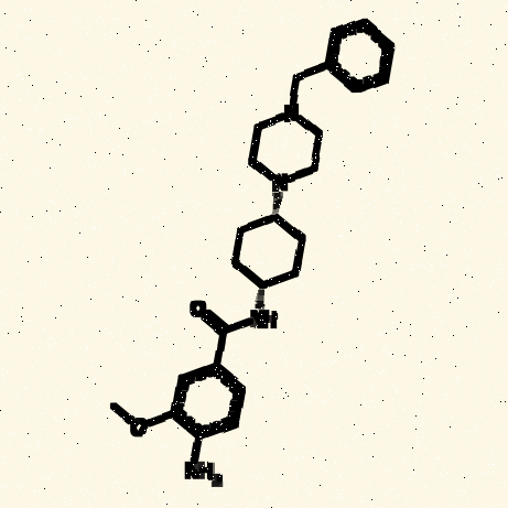 COc1cc(C(=O)N[C@H]2CC[C@@H](N3CCN(Cc4ccccc4)CC3)CC2)ccc1N